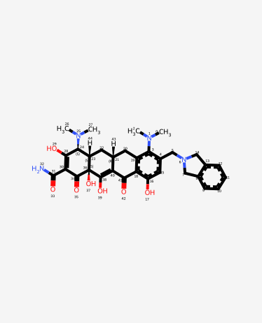 CN(C)c1c(CN2Cc3ccccc3C2)cc(O)c2c1C[C@H]1C[C@H]3[C@H](N(C)C)C(O)=C(C(N)=O)C(=O)[C@@]3(O)C(O)=C1C2=O